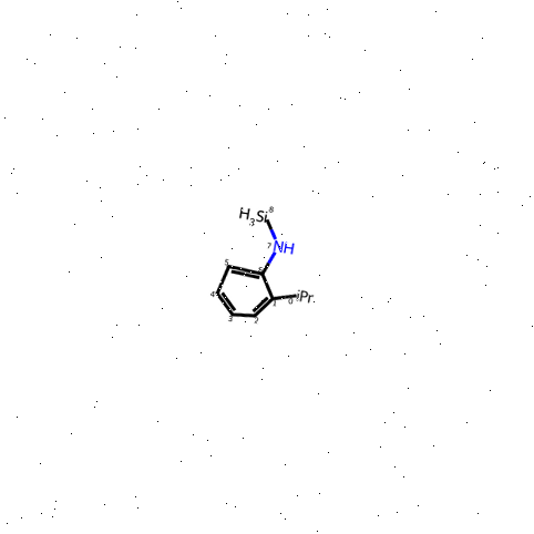 CC(C)c1ccccc1N[SiH3]